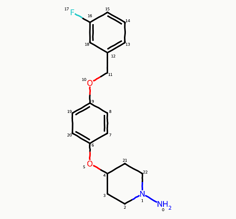 NN1CCC(Oc2ccc(OCc3cccc(F)c3)cc2)CC1